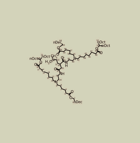 CCCCCCCCCCCOC(=O)CCCCCN(CCCCCCCC(=O)OC(CCCCCCCC)CCCCCCCC)CCNC(=O)CC(CCN(C)C)C(=O)NCCN(CCCCCCCC(=O)OC(CCCCCCCC)CCCCCCCC)CCCCCC(=O)OCCCCCCCCCCC